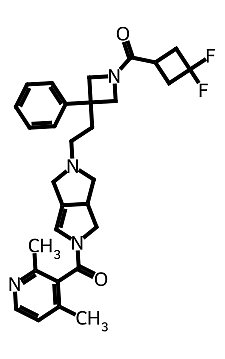 Cc1ccnc(C)c1C(=O)N1C=C2CN(CCC3(c4ccccc4)CN(C(=O)C4CC(F)(F)C4)C3)CC2C1